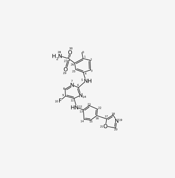 Cc1ccc(Nc2ncc(F)c(Nc3ccc(-c4cnco4)cc3)n2)cc1S(N)(=O)=O